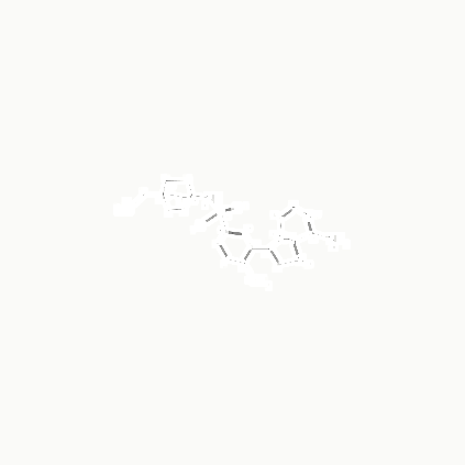 Cc1ccc(S(=O)(=O)NC23CCC(CO)(CC2)OC3)cc1-c1cnc2c(N)nccn12